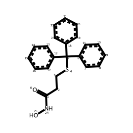 O=C(CCSC(c1ccccc1)(c1ccccc1)c1ccccc1)NO